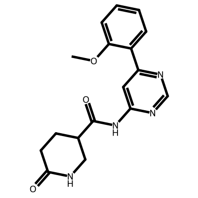 COc1ccccc1-c1cc(NC(=O)C2CCC(=O)NC2)ncn1